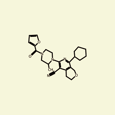 CC1CN(C(=O)c2ccco2)CCN1c1nc(C2CCCCC2)c2c(c1C#N)CCOC2